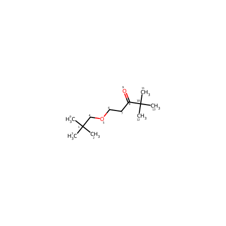 CC(C)(C)COCCC(=O)C(C)(C)C